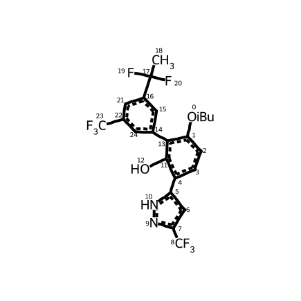 CC(C)COc1ccc(-c2cc(C(F)(F)F)n[nH]2)c(O)c1-c1cc(C(C)(F)F)cc(C(F)(F)F)c1